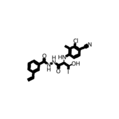 C=Cc1cccc(C(=O)NNC(=O)[C@H](Nc2ccc(C#N)c(Cl)c2C)[C@@H](O)I)c1